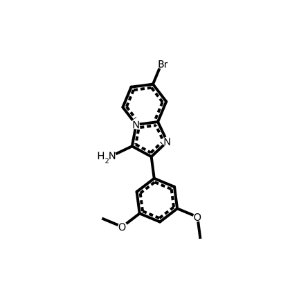 COc1cc(OC)cc(-c2nc3cc(Br)ccn3c2N)c1